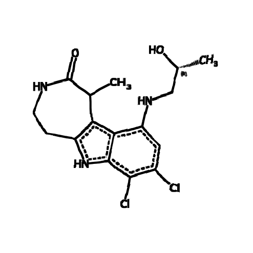 CC1C(=O)NCCc2[nH]c3c(Cl)c(Cl)cc(NC[C@@H](C)O)c3c21